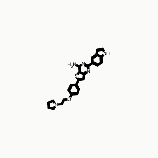 Nc1nc(-c2ccc3[nH]ccc3c2)nc2cc(-c3ccc(OCCN4CCCC4)cc3)sc12